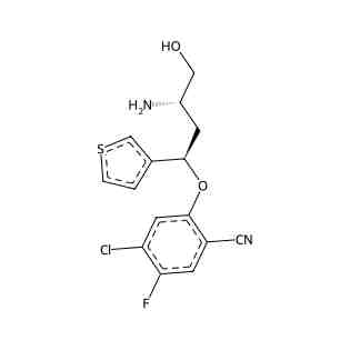 N#Cc1cc(F)c(Cl)cc1O[C@H](C[C@H](N)CO)c1ccsc1